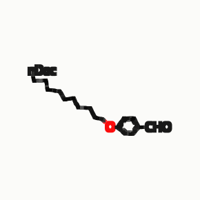 CCCCCCCCCCCCCCCCCCCCOc1ccc(C=O)cc1